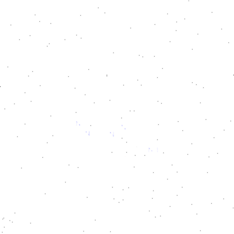 O=C1Nc2ccccc2/C1=N/NC1=NN=C(c2ccccc2)C1